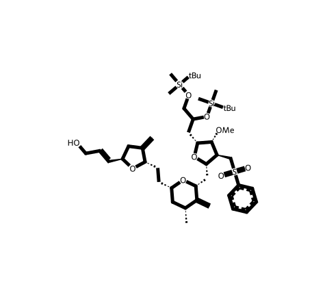 C=C1C[C@H](C=CCO)O[C@H]1CC[C@H]1C[C@@H](C)C(=C)[C@@H](C[C@@H]2O[C@H](CC(CO[Si](C)(C)C(C)(C)C)O[Si](C)(C)C(C)(C)C)[C@H](OC)[C@H]2CS(=O)(=O)c2ccccc2)O1